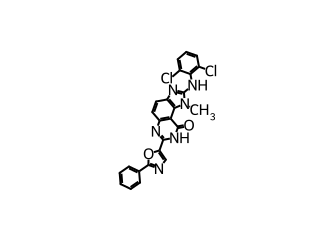 Cn1c(Nc2c(Cl)cccc2Cl)nc2ccc3nc(-c4cnc(-c5ccccc5)o4)[nH]c(=O)c3c21